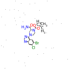 CC(C)(C)OC(=O)N1CCN(c2ncnc3cc(Cl)c(Br)cc23)CC1C(N)=O